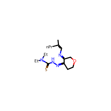 CCC\C(C)=C/N=C1\COCC\C1=N\NC(=S)N(CC)CC